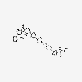 CCOC(=O)C(c1cc(N2CCC3(CC2)CC(N2CCC(c4cnc(N5CCc6[nH]c7nnc(-c8ccccc8O)cc7c6[C@@H]5C)nc4)CC2)C3)no1)C(C)C